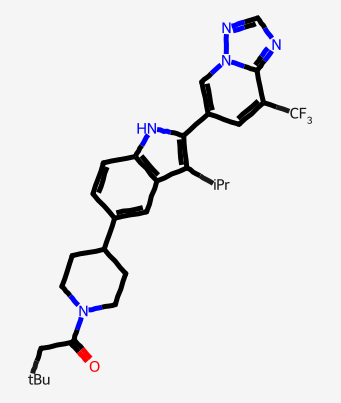 CC(C)c1c(-c2cc(C(F)(F)F)c3ncnn3c2)[nH]c2ccc(C3CCN(C(=O)CC(C)(C)C)CC3)cc12